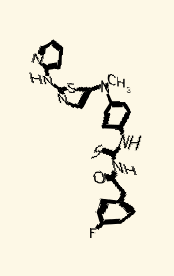 CN(c1ccc(NC(=S)NC(=O)Cc2ccc(F)cc2)cc1)c1cnc(Nc2ccccn2)s1